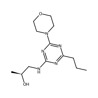 CCCc1nc(NC[C@H](C)O)nc(N2CCOCC2)n1